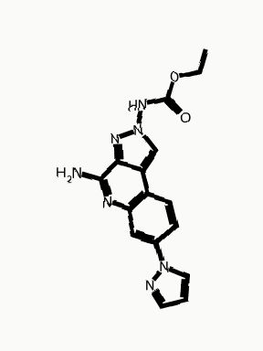 CCOC(=O)Nn1cc2c(n1)c(N)nc1cc(-n3cccn3)ccc12